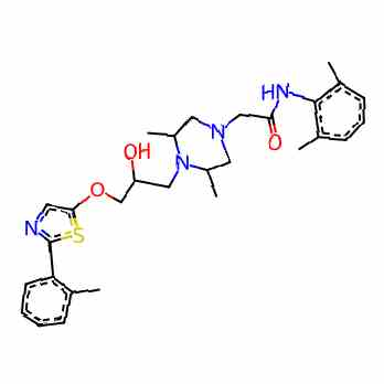 Cc1ccccc1-c1ncc(OCC(O)CN2C(C)CN(CC(=O)Nc3c(C)cccc3C)CC2C)s1